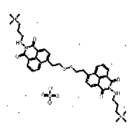 C[N+](C)(C)CCCNN1C(=O)c2cccc3c(CCSSCCc4ccc5c6c(cccc46)C(=O)N(NCCC[N+](C)(C)C)C5=O)ccc(c23)C1=O.O=S(=O)([O-])[O-]